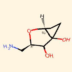 NC[C@H]1O[C@H]2CC2(O)C1O